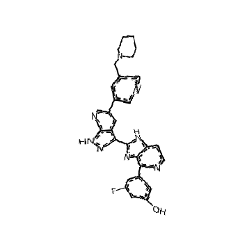 Oc1cc(F)cc(-c2nccc3[nH]c(-c4n[nH]c5ncc(-c6cncc(CN7CCCCC7)c6)cc45)nc23)c1